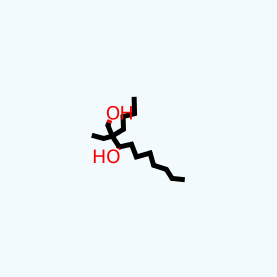 CCCCCCCC(O)C(CC)(CO)CCCC